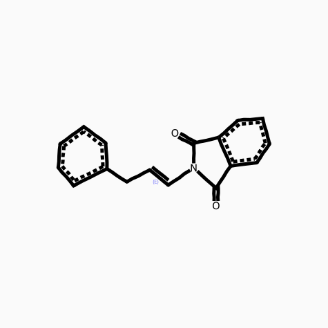 O=C1c2ccccc2C(=O)N1/C=C/Cc1ccccc1